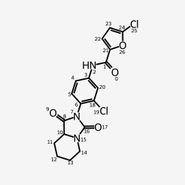 O=C(Nc1ccc(N2C(=O)C3CCCCN3C2=O)c(Cl)c1)c1ccc(Cl)o1